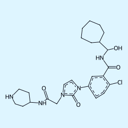 O=C(Cn1ccn(-c2ccc(Cl)c(C(=O)NC(O)C3CCCCCC3)c2)c1=O)NC1CCNCC1